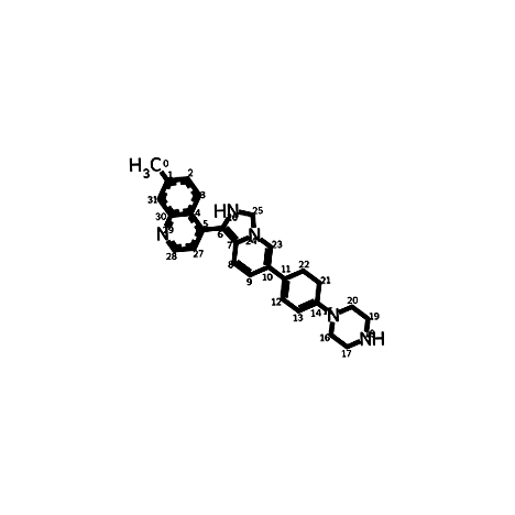 Cc1ccc2c(C3=C4C=CC(C5=CC=C(N6CCNCC6)CC5)=CN4CN3)ccnc2c1